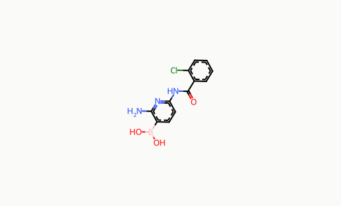 Nc1nc(NC(=O)c2ccccc2Cl)ccc1B(O)O